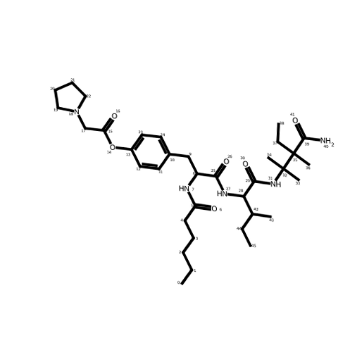 CCCCCC(=O)NC(Cc1ccc(OC(=O)CN2CCCC2)cc1)C(=O)NC(C(=O)NC(C)(C)C(C)(CC)C(N)=O)C(C)CC